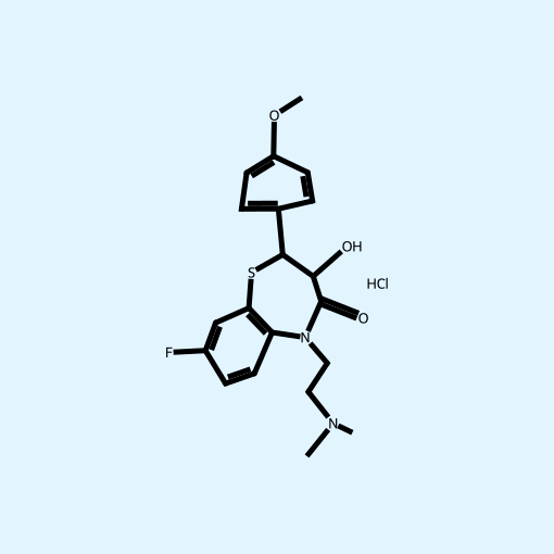 COc1ccc(C2Sc3cc(F)ccc3N(CCN(C)C)C(=O)C2O)cc1.Cl